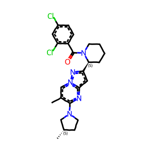 Cc1cn2nc([C@@H]3CCCCN3C(=O)c3ccc(Cl)cc3Cl)cc2nc1N1CC[C@H](C)C1